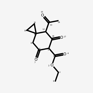 CCOC(=O)C1C(=O)CC2(CC2)C(C(C)=O)C1=O